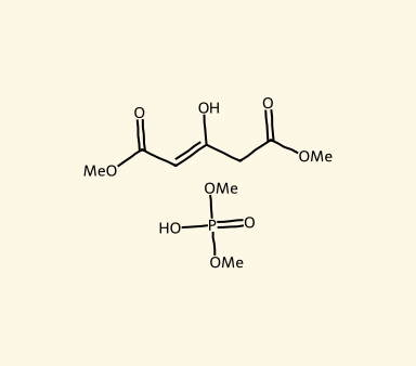 COC(=O)C=C(O)CC(=O)OC.COP(=O)(O)OC